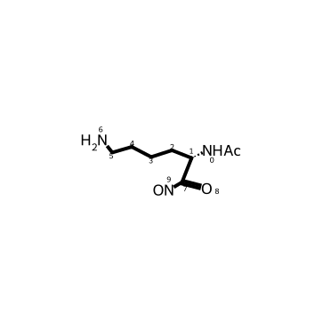 CC(=O)N[C@@H](CCCCN)C(=O)N=O